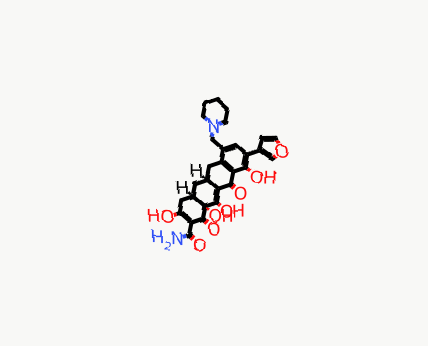 NC(=O)C1=C(O)C[C@@H]2C[C@@H]3Cc4c(CN5CCCCC5)cc(-c5ccoc5)c(O)c4C(=O)C3=C(O)[C@]2(O)C1=O